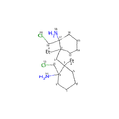 CCC1(CC2(CC)CCCCC2(N)CCl)CCCCC1(N)CCl